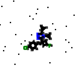 FC1C[C]([Fe][c]2ccc(Cl)cc2)(c2nnc(C3CC3)n2C2CC2)C1